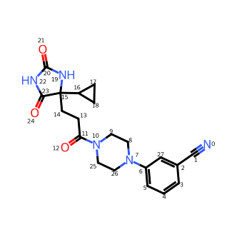 N#Cc1cccc(N2CCN(C(=O)CCC3(C4CC4)NC(=O)NC3=O)CC2)c1